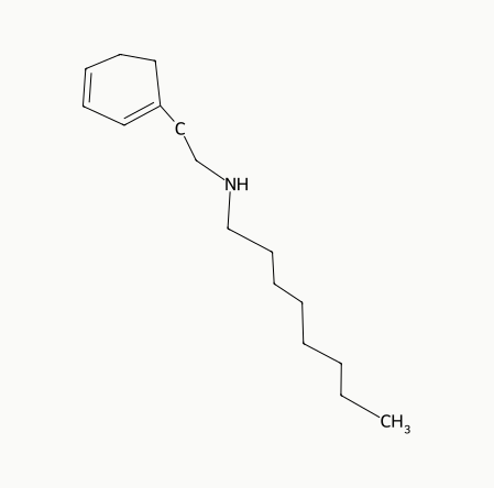 CCCCCCCCNCCC1=CC=CCC1